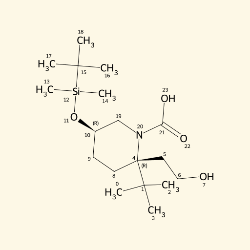 CC(C)(C)[C@]1(CCO)CC[C@@H](O[Si](C)(C)C(C)(C)C)CN1C(=O)O